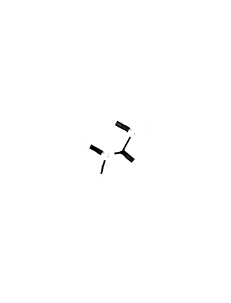 O=C([N+](=O)[O-])[N+](=O)[O-]